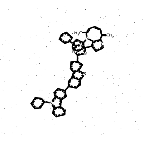 C=C1/C=C\C=C(\C)N(c2ccccc2)c2c1cccc2-c1nc(-c2ccccc2)nc(-c2ccc3c(c2)sc2ccc(-c4ccc5c(c4)c4ccccc4n5-c4ccccc4)cc23)n1